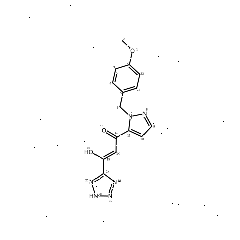 COc1ccc(Cn2nccc2C(=O)C=C(O)c2nn[nH]n2)cc1